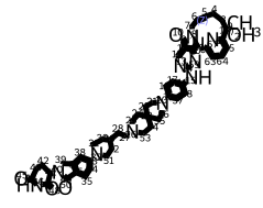 C[C@@]1(O)CC/C=C\Cn2c(=O)c3cnc(Nc4ccc(N5CCC6(CCN(CCC7CCN(c8ccc9c(c8)CN(C8CCC(=O)NC8=O)C9=O)CC7)CC6)CC5)cc4)nc3n2-c2cccc1n2